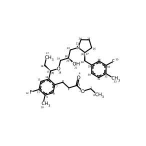 CCOC(=O)CCc1cc(C)c(F)cc1[C@@H](CC)OC[C@H](O)CN1CCC[C@H]1Cc1ccc(C)c(F)c1